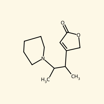 CC(C1=CC(=O)OC1)C(C)N1CCCCC1